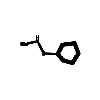 CC(C)(C)NSc1ccccc1